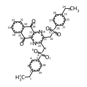 CCc1ccc(S(=O)(=O)Cc2nc3c(nc2CS(=O)(=O)c2ccc(CC)cc2)C(=O)c2ccccc2C3=O)cc1